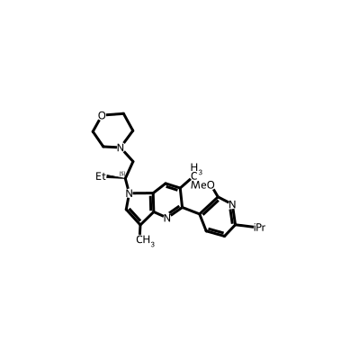 CC[C@@H](CN1CCOCC1)n1cc(C)c2nc(-c3ccc(C(C)C)nc3OC)c(C)cc21